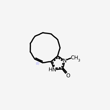 Cn1c2c([nH]c1=O)/C=C\CCCCCCC2